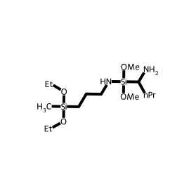 CCCC(N)[Si](NCCC[Si](C)(OCC)OCC)(OC)OC